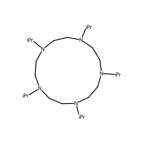 CC(C)N1CCN(C(C)C)CCN(C(C)C)CCN(C(C)C)CCN(C(C)C)CC1